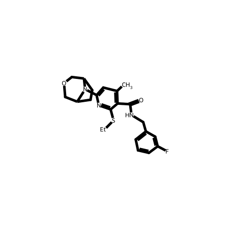 CCSc1nc(N2C3CCC2COC3)cc(C)c1C(=O)NCc1cccc(F)c1